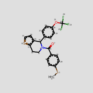 CSc1ccc(C(=O)N2CCc3sccc3C2c2ccc(OC(F)(F)F)cc2)cc1